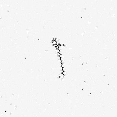 CCCCCCCCCCCCCCCCCCC1(CC)COC1CC(N)=O